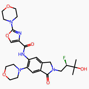 CC(C)(O)[C@H](F)CN1Cc2cc(NC(=O)c3coc(N4CCOCC4)n3)c(N3CCOCC3)cc2C1=O